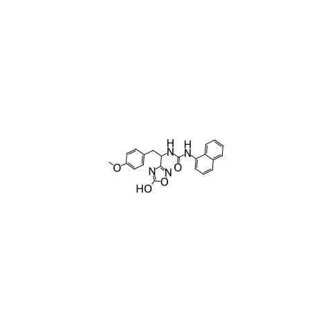 COc1ccc(CC(NC(=O)Nc2cccc3ccccc23)c2noc(O)n2)cc1